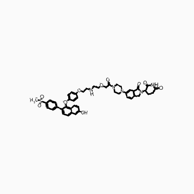 CS(=O)(=O)c1ccc(-c2ccc3cc(O)ccc3c2Oc2ccc(OCCNCCOCC(=O)N3CCN(c4ccc5c(c4)C(=O)N(C4CCC(=O)NC4=O)C5)CC3)cc2)cc1